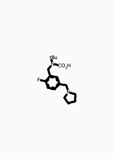 CC(C)(C)N(Cc1cc(CN2CCCC2)ccc1F)C(=O)O